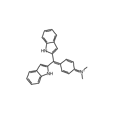 C[N+](C)=C1C=CC(=C(c2cc3ccccc3[nH]2)c2cc3ccccc3[nH]2)C=C1